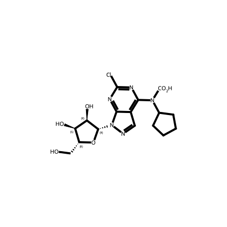 O=C(O)N(c1nc(Cl)nc2c1cnn2[C@@H]1O[C@H](CO)[C@@H](O)[C@H]1O)C1CCCC1